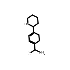 CCC(N)C1=CC=C(C2CCCCN2)CC1